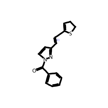 O=C(c1ccccc1)n1ccc(/C=C/C2=CCCS2)n1